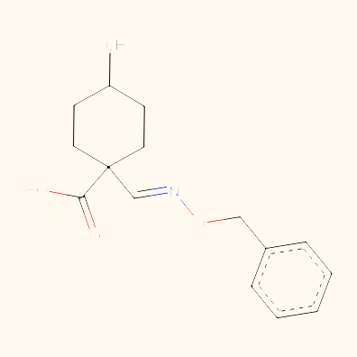 CC1CCC(C=NOCc2ccccc2)(C(=O)O)CC1